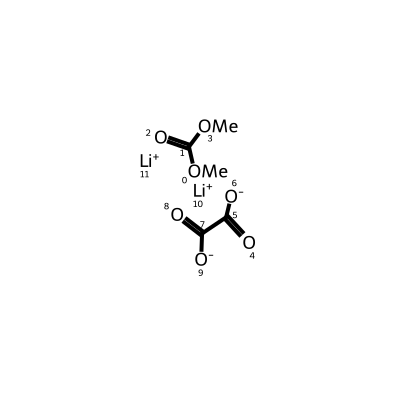 COC(=O)OC.O=C([O-])C(=O)[O-].[Li+].[Li+]